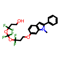 Cn1c(-c2ccccc2)cc2ccc(OCCC(F)(F)OC(F)(F)OC(F)(F)CCO)cc21